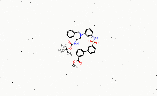 COC(=O)c1cccc(-c2cccc(S(=O)(=O)Nc3cccc(N(CCNC(=O)OC(C)(C)C)Cc4ccccc4)c3)c2)c1